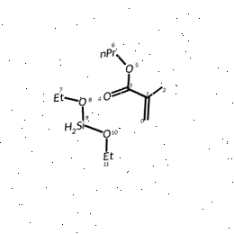 C=C(C)C(=O)OCCC.CCO[SiH2]OCC